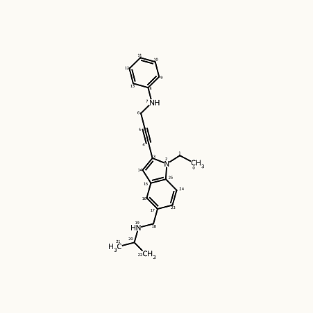 CCn1c(C#CCNc2ccccc2)cc2cc(CNC(C)C)ccc21